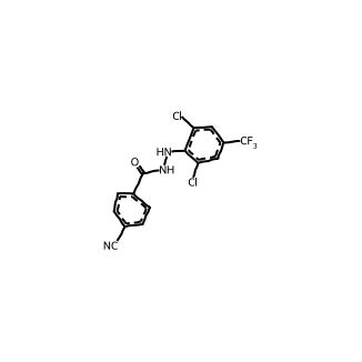 N#Cc1ccc(C(=O)NNc2c(Cl)cc(C(F)(F)F)cc2Cl)cc1